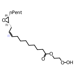 CCCCC[C@H]1O[C@H]1C/C=C\CCCCCCCC(=O)OCCOO